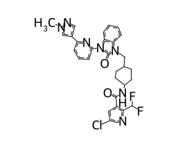 Cn1cc(-c2cccc(-n3c(=O)n(CC4CCC(NC(=O)c5cc(Cl)cnc5C(F)F)CC4)c4ccccc43)n2)cn1